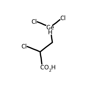 O=C(O)C(Cl)[CH2][GeH]([Cl])[Cl]